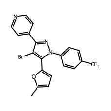 Cc1ccc(-c2c(Br)c(-c3ccncc3)nn2-c2ccc(C(F)(F)F)cc2)o1